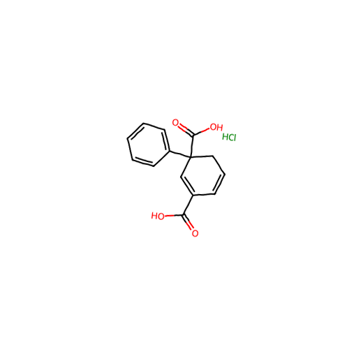 Cl.O=C(O)C1=CC(C(=O)O)(c2ccccc2)CC=C1